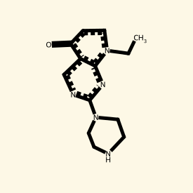 CCn1ccc(=O)c2cnc(N3CCNCC3)nc21